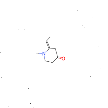 CC=C1CC(=O)CCN1C